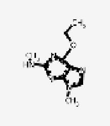 CCOc1nc(NC)nc2c1ncn2C